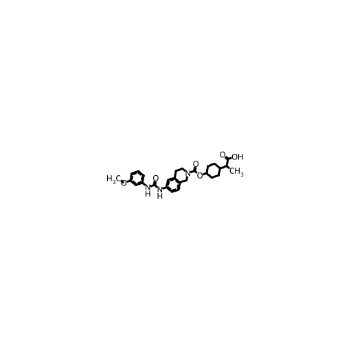 COc1cccc(NC(=O)Nc2ccc3c(c2)CCN(C(=O)OC2CCC(C(C)C(=O)O)CC2)C3)c1